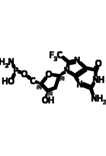 Nc1nc2c(nc(C(F)(F)F)n2[C@H]2C[C@H](O)[C@@H](COP(N)O)O2)c(=O)[nH]1